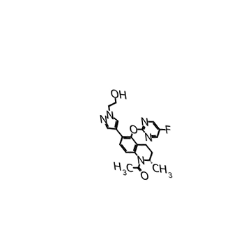 CC(=O)N1c2ccc(-c3cnn(CCO)c3)c(Oc3ncc(F)cn3)c2CC[C@@H]1C